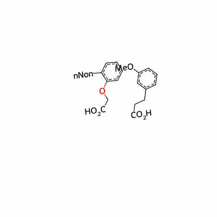 CCCCCCCCCc1ccccc1OCC(=O)O.COc1cccc(CCC(=O)O)c1